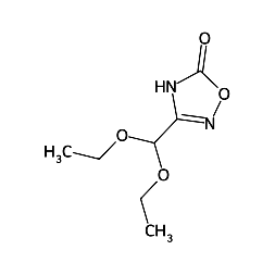 CCOC(OCC)c1noc(=O)[nH]1